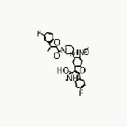 CN[C@H](O)c1c(-c2ccc(F)cc2)oc2cc(NOC)c([C@@H]3CCCN(C(=O)c4oc5ccc(F)cc5c4C)C3)cc12